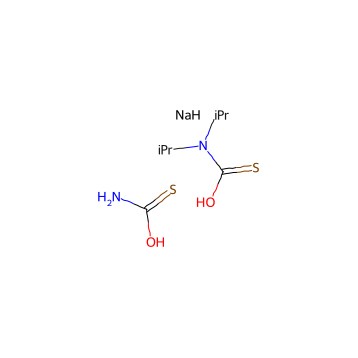 CC(C)N(C(O)=S)C(C)C.NC(O)=S.[NaH]